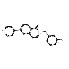 O=c1c2ccc(-c3ccncc3)cc2ccn1Cc1cccc(O)c1